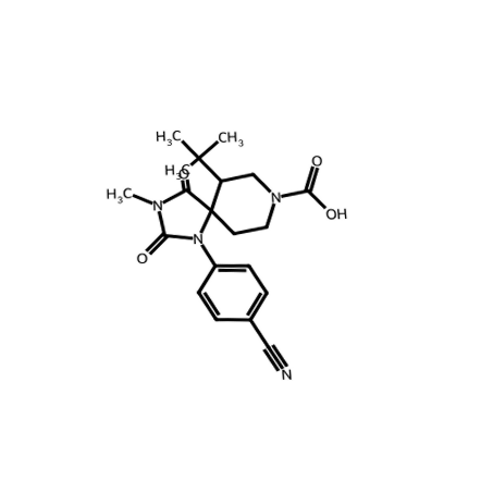 CN1C(=O)N(c2ccc(C#N)cc2)C2(CCN(C(=O)O)CC2C(C)(C)C)C1=O